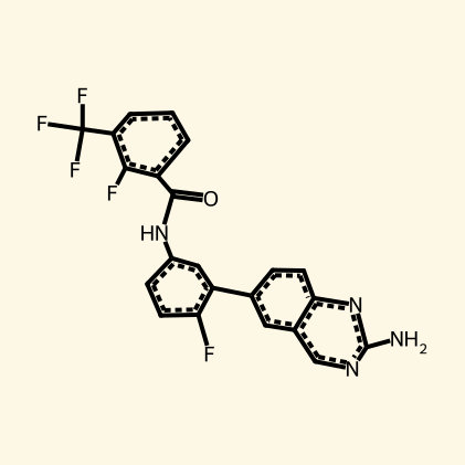 Nc1ncc2cc(-c3cc(NC(=O)c4cccc(C(F)(F)F)c4F)ccc3F)ccc2n1